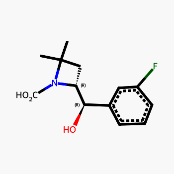 CC1(C)C[C@H]([C@H](O)c2cccc(F)c2)N1C(=O)O